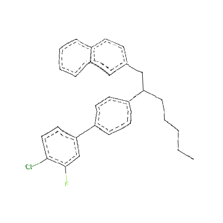 CCCCCC(Cc1ccc2ccccc2c1)c1ccc(-c2ccc(Cl)c(F)c2)cc1